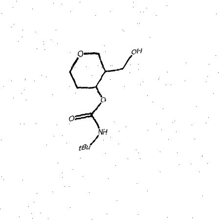 CC(C)(C)NC(=O)OC1CCOCC1CO